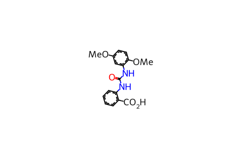 COc1ccc(OC)c(NC(=O)Nc2ccccc2C(=O)O)c1